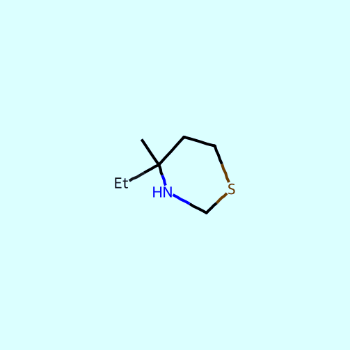 CCC1(C)CCSCN1